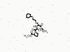 CCOC(=O)[C@H](CSCCSC1CCCCC1)N[C@@H](C)C(=O)N1CCC[C@H]1C(=O)OC